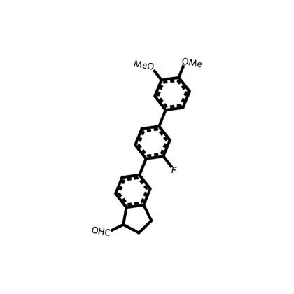 COc1ccc(-c2ccc(-c3ccc4c(c3)CCC4C=O)c(F)c2)cc1OC